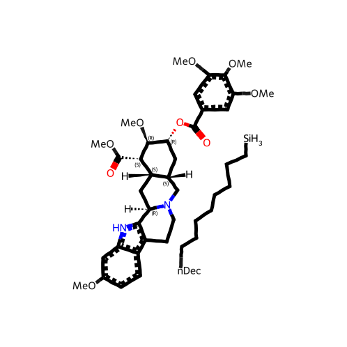 CCCCCCCCCCCCCCCCCC[SiH3].COC(=O)[C@H]1[C@H]2C[C@@H]3c4[nH]c5cc(OC)ccc5c4CCN3C[C@H]2C[C@@H](OC(=O)c2cc(OC)c(OC)c(OC)c2)[C@@H]1OC